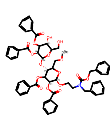 CCCCOCC1O[C@@H](OCCN(Cc2ccccc2)C(=O)OCc2ccccc2)[C@@H](OC(=O)c2ccccc2)C(OC(=O)c2ccccc2)[C@@H]1O[C@@H]1OC(CO)[C@@H](O)C(OC(=O)c2ccccc2)[C@@H]1OC(=O)c1ccccc1